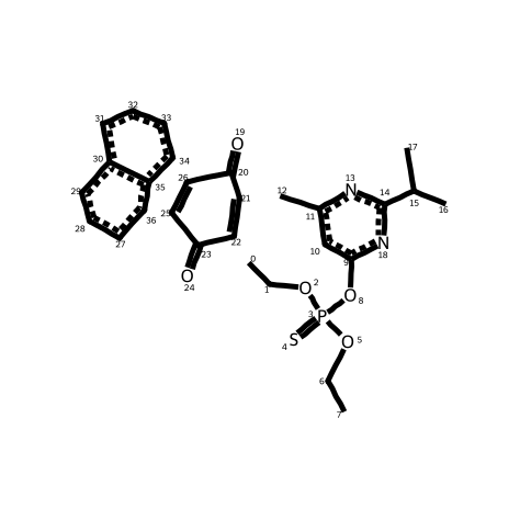 CCOP(=S)(OCC)Oc1cc(C)nc(C(C)C)n1.O=C1C=CC(=O)C=C1.c1ccc2ccccc2c1